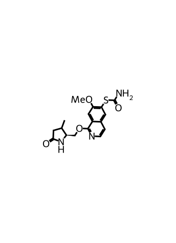 COc1cc2c(OC[C@H]3NC(=O)CC3C)nccc2cc1SC(N)=O